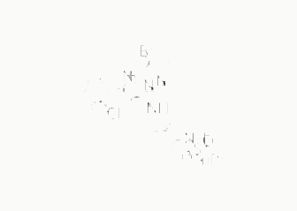 CCCS(=O)(=O)Nc1cccc(CNc2cc(-c3ccccc3Cl)nc3c(Br)cnn23)c1